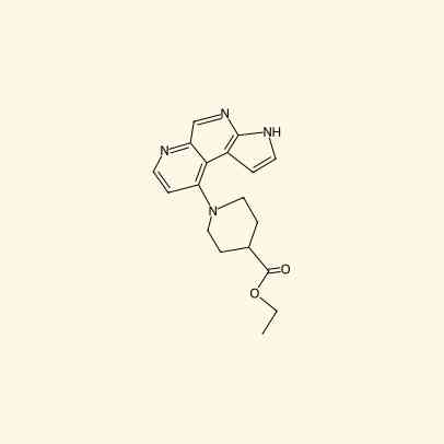 CCOC(=O)C1CCN(c2ccnc3cnc4[nH]ccc4c23)CC1